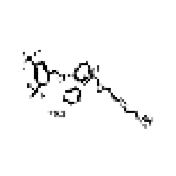 Cl.OCCCOCCOC[C@@H]1C[C@]2(c3ccccc3)N[C@H]1CC[C@H]2OCc1cc(C(F)(F)F)cc(C(F)(F)F)c1